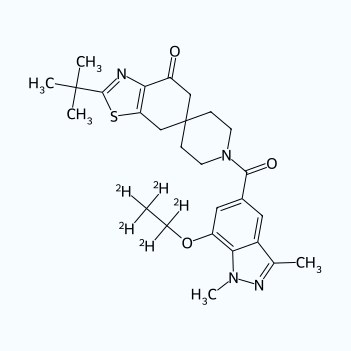 [2H]C([2H])([2H])C([2H])([2H])Oc1cc(C(=O)N2CCC3(CC2)CC(=O)c2nc(C(C)(C)C)sc2C3)cc2c(C)nn(C)c12